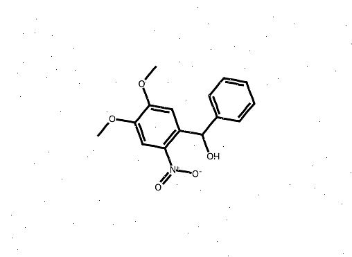 COc1cc(C(O)c2ccccc2)c([N+](=O)[O-])cc1OC